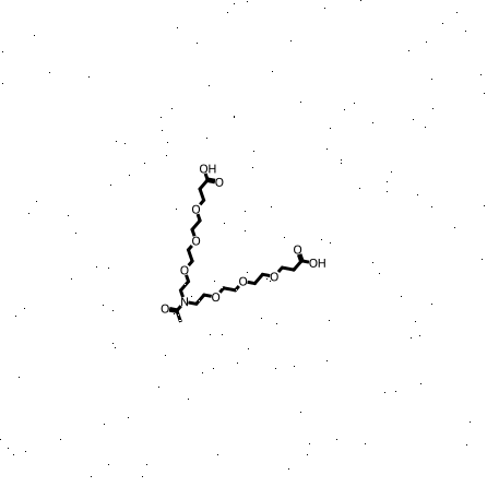 CC(=O)N(CCOCCOCCOCCC(=O)O)CCOCCOCCOCCC(=O)O